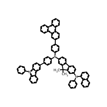 CC1(C)c2cc(N(c3ccc(-c4ccc5c6ccccc6c6ccccc6c5c4)cc3)c3ccc(-c4ccc5c(c4)c4ccccc4n5-c4ccccc4)cc3)ccc2-c2ccc(N(c3ccccc3)c3cccc4ccccc34)cc21